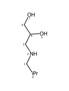 CC(C)CNCC(O)CO